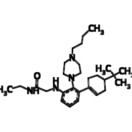 CCCCN1CCN(c2c(NCC(=O)NCC)cccc2C2=CCC(C(C)(C)C)CC2)CC1